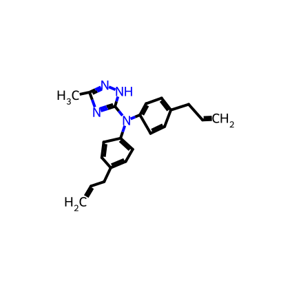 C=CCc1ccc(N(c2ccc(CC=C)cc2)c2nc(C)n[nH]2)cc1